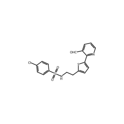 O=Cc1cccnc1-c1ccc(CCNS(=O)(=O)c2ccc(Cl)cc2)s1